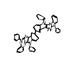 c1ccc(-n2c3ccccc3n3c2nc2c4cc(-c5ccc6c(c5)c5nc7n(-c8ccccc8)c8ccccc8n7c5n6-c5ccccc5)ccc4n(-c4ccccc4)c23)cc1